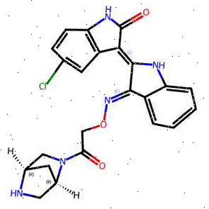 O=C1Nc2ccc(Cl)cc2/C1=C1/Nc2ccccc2/C1=N\OCC(=O)N1C[C@H]2C[C@@H]1CN2